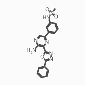 CS(=O)(=O)Nc1cccc(-c2cnc(N)c(-c3nnc(-c4ccccc4)o3)n2)c1